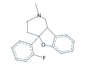 CN1CCC2(c3ccccc3F)Oc3ccccc3C2C1